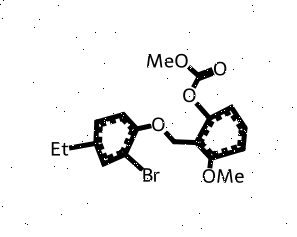 CCc1ccc(OCc2c(OC)cccc2OC(=O)OC)c(Br)c1